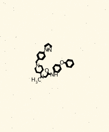 CN(CC(=O)Nc1ccc(Oc2ccccc2)cc1)C1CCN(Cc2ccc(-n3cccn3)cc2)CC1